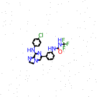 O=C(Nc1cccc(-c2cn3ccnc3c(Nc3ccc(Cl)cc3)n2)c1)NC(F)(F)F